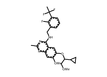 COCC(Oc1cc2c(NCc3cccc(C(C)(F)F)c3F)nc(C)nc2cc1OC)C1CC1